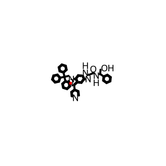 O=C(NC(CO)c1ccccc1)c1nc2cc3c(-c4ccncc4)nn(CC(c4ccccc4)(c4ccccc4)c4ccccc4)c3cc2[nH]1